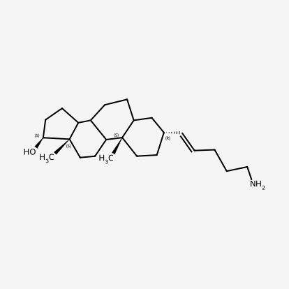 C[C@]12CC[C@@H](C=CCCCN)CC1CCC1C2CC[C@@]2(C)C1CC[C@@H]2O